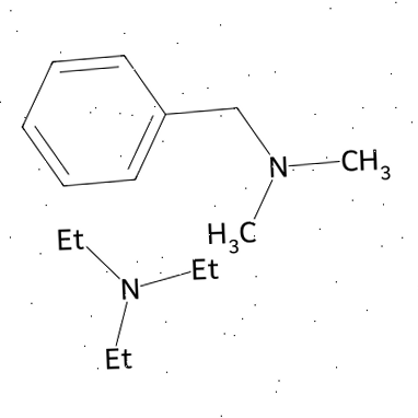 CCN(CC)CC.CN(C)Cc1ccccc1